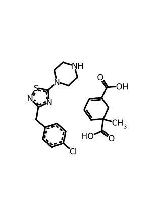 CC1(C(=O)O)C=CC=C(C(=O)O)C1.Clc1ccc(Cc2nsc(N3CCNCC3)n2)cc1